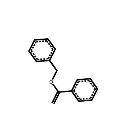 C=C(OCc1ccccc1)c1ccccc1